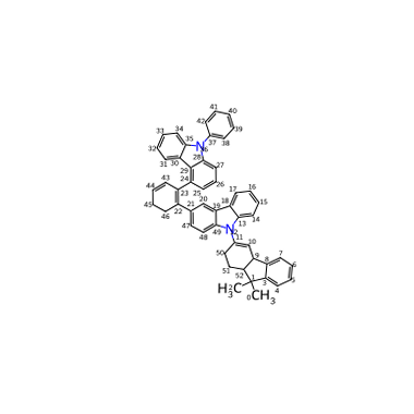 CC1(C)c2ccccc2C2C=C(n3c4ccccc4c4cc(C5=C(c6cccc7c6c6ccccc6n7-c6ccccc6)C=CCC5)ccc43)CCC21